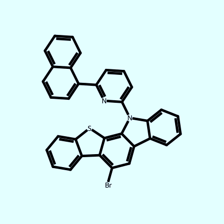 Brc1cc2c3ccccc3n(-c3cccc(-c4cccc5ccccc45)n3)c2c2sc3ccccc3c12